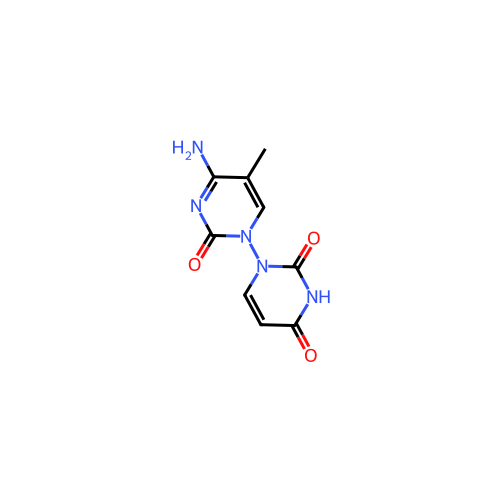 Cc1cn(-n2ccc(=O)[nH]c2=O)c(=O)nc1N